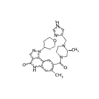 Cc1cc2[nH]c(=O)c3cnn(C4CCOCC4)c3c2cc1C(=O)N1CCN(Cc2c[nH]cn2)[C@@H](C)C1